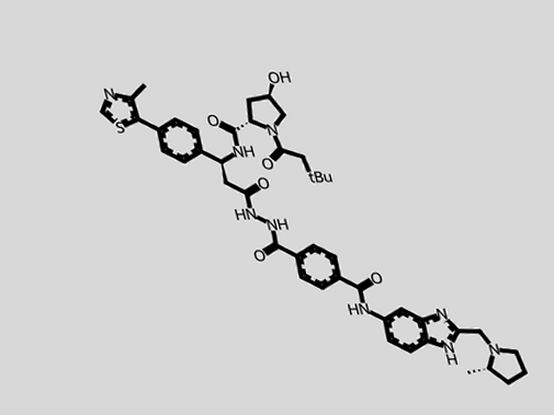 Cc1ncsc1-c1ccc([C@H](CC(=O)NNC(=O)c2ccc(C(=O)Nc3ccc4[nH]c(CN5CCC[C@@H]5C)nc4c3)cc2)NC(=O)[C@@H]2C[C@@H](O)CN2C(=O)CC(C)(C)C)cc1